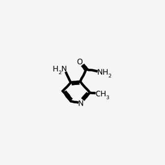 Cc1nccc(N)c1C(N)=O